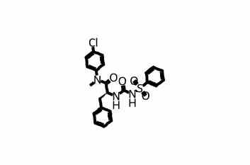 CN(C(=O)[C@H](Cc1ccccc1)NC(=O)NS(=O)(=O)c1ccccc1)c1ccc(Cl)cc1